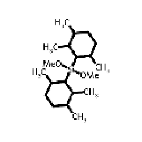 CO[Si](OC)(C1C(C)CCC(C)C1C)C1C(C)CCC(C)C1C